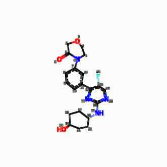 O=C1COCCN1c1cccc(-c2nc(N[C@H]3CC[C@H](O)CC3)ncc2F)c1